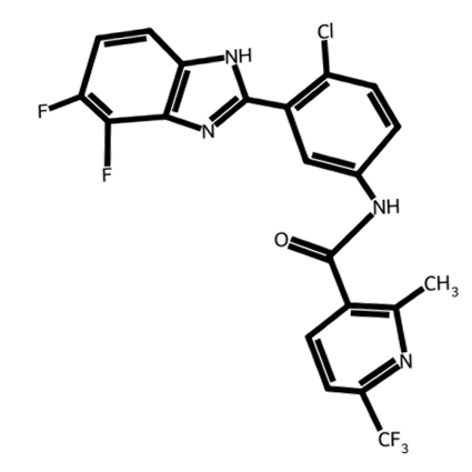 Cc1nc(C(F)(F)F)ccc1C(=O)Nc1ccc(Cl)c(-c2nc3c(F)c(F)ccc3[nH]2)c1